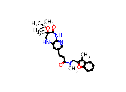 Cc1c(CN(C)C(=O)/C=C/c2cnc3c(c2)NCC(C)(O[Si](C)(C)C)C(=O)N3)oc2ccccc12